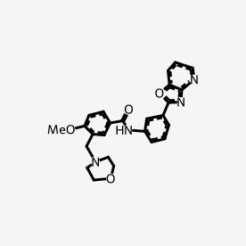 COc1ccc(C(=O)Nc2cccc(-c3nc4ncccc4o3)c2)cc1CN1CCOCC1